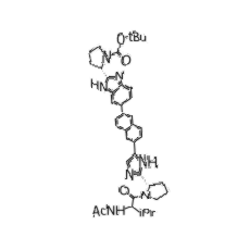 CC(=O)NC(C(=O)N1CCC[C@H]1c1ncc(-c2ccc3cc(-c4ccc5nc([C@@H]6CCCN6C(=O)OC(C)(C)C)[nH]c5c4)ccc3c2)[nH]1)C(C)C